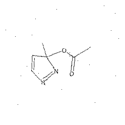 CC(=O)OC1(C)C=CN=N1